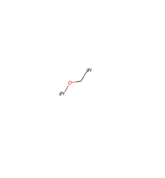 C[C](C)OCC(C)C